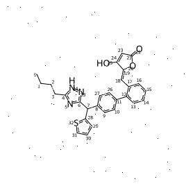 CCCCc1nc(C(c2ccc(-c3ccccc3/C=C3\OC(=O)C=C3O)cc2)c2cccs2)n[nH]1